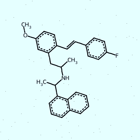 COc1ccc(C=Cc2ccc(F)cc2)c(CC(C)NC(C)c2cccc3ccccc23)c1